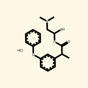 CC(C(=O)OC(S)CN(C)C)c1cccc(Oc2ccccc2)c1.Cl